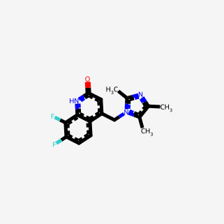 Cc1nc(C)n(Cc2cc(=O)[nH]c3c(F)c(F)ccc23)c1C